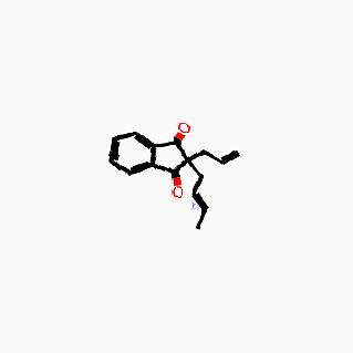 C=CCC1(C/C=C/C)C(=O)c2ccccc2C1=O